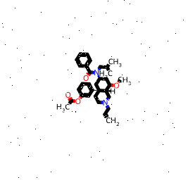 C=CCN1CC[C@@]2(c3cccc(OC(C)=O)c3)C[C@@H](N(CC(C)C)C(=O)c3ccccc3)CC(OC)[C@@H]2C1